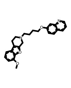 COc1cccc2c3c(oc12)CN(CCCCOc1ccc2cccnc2c1)CC3